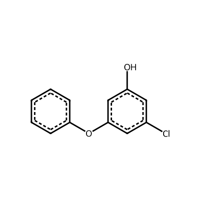 Oc1cc(Cl)cc(Oc2ccccc2)c1